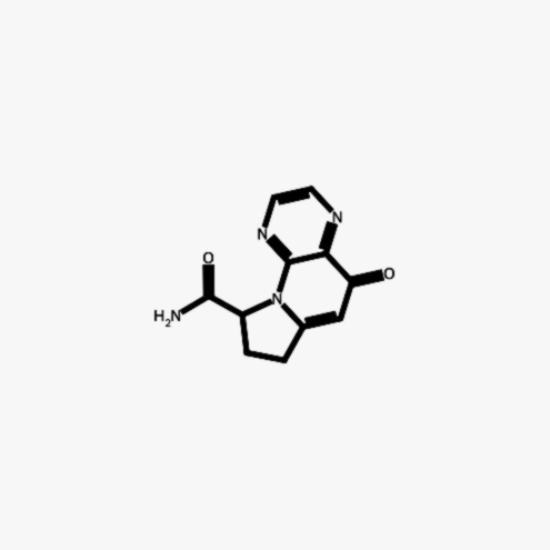 NC(=O)C1CCc2cc(=O)c3nccnc3n21